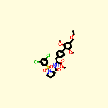 CCOCc1cc(OC)c(-c2ccc(C[C@H](NC(=O)[C@@H]3CCCN3S(=O)(=O)c3cc(Cl)cc(Cl)c3)C(=O)OC)cc2)c(OC)c1